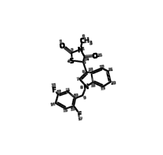 CN1C(=O)SC(c2cn(Cc3cc(F)ccc3F)c3ccccc23)C1=O